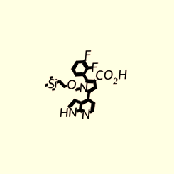 C[Si](C)(C)CCOCn1c(-c2ccnc3[nH]ccc23)cc(C(=O)O)c1-c1cccc(F)c1F